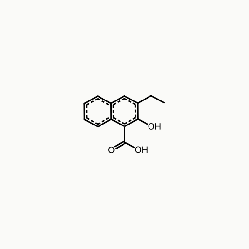 CCc1cc2ccccc2c(C(=O)O)c1O